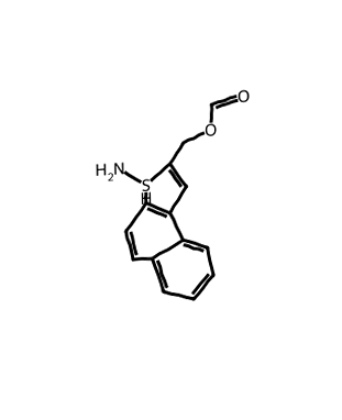 N[SH]1C(COC=O)=Cc2c1ccc1ccccc21